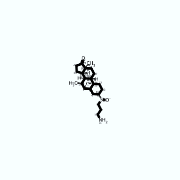 C[C@@H]1CC2C[C@H]([S+]([O-])CCCN)CC[C@]2(C)[C@H]2CC[C@]3(C)C(=O)CC[C@H]3[C@H]12